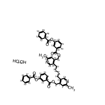 Cc1cc(COC(=O)c2cccc(OC(=O)c3ccccc3)c2)c(CSSCc2cnc(C)cc2COC(=O)c2cccc(OC(=O)c3ccccc3)c2)cn1.Cl.Cl